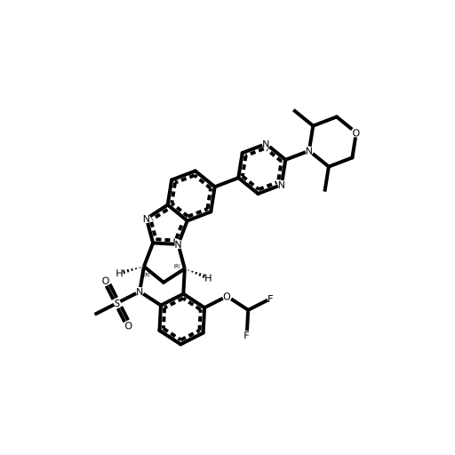 CC1COCC(C)N1c1ncc(-c2ccc3nc4n(c3c2)[C@@H]2C[C@H]4N(S(C)(=O)=O)c3cccc(OC(F)F)c32)cn1